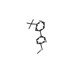 COc1ccc(-c2ccnc(C(C)(C)C)c2)cn1